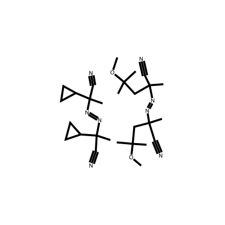 CC(C#N)(N=NC(C)(C#N)C1CC1)C1CC1.COC(C)(C)CC(C)(C#N)N=NC(C)(C#N)CC(C)(C)OC